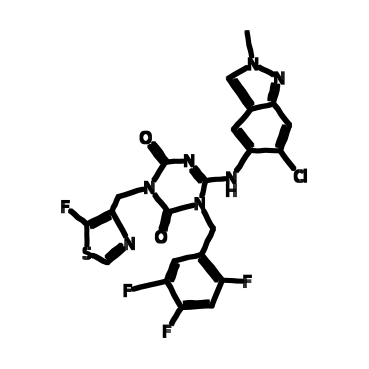 Cn1cc2cc(Nc3nc(=O)n(Cc4ncsc4F)c(=O)n3Cc3cc(F)c(F)cc3F)c(Cl)cc2n1